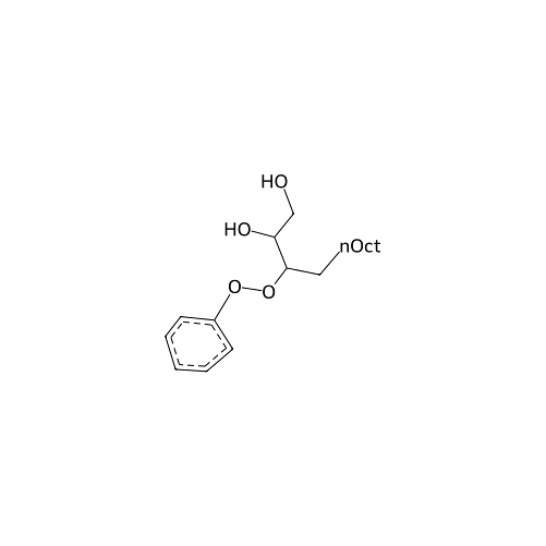 CCCCCCCCCC(OOc1ccccc1)C(O)CO